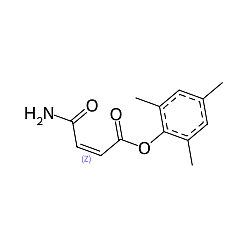 Cc1cc(C)c(OC(=O)/C=C\C(N)=O)c(C)c1